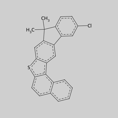 CC1(C)c2ccc(Cl)cc2-c2cc3c(cc21)sc1ccc2ccccc2c13